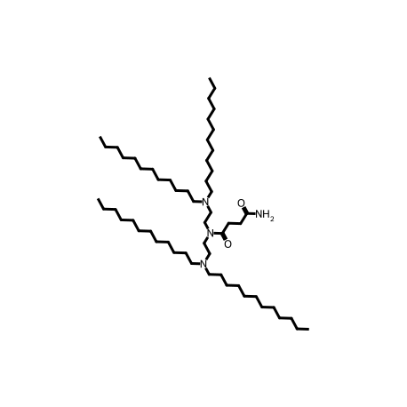 CCCCCCCCCCCCN(CCCCCCCCCCCC)CCN(CCN(CCCCCCCCCCCC)CCCCCCCCCCCC)C(=O)CCC(N)=O